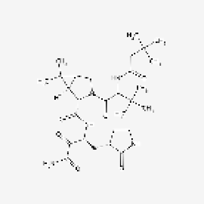 CC(C)(C)CC(=O)NC(C(=O)N1CC2[C@@H]([C@H]1C(=O)N[C@@H](C[C@@H]1CCNC1=O)C(=O)C(N)=O)C2(C)C)C(C)(C)C